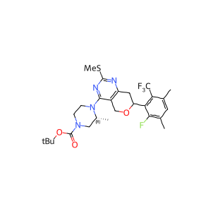 CSc1nc2c(c(N3CCN(C(=O)OC(C)(C)C)C[C@H]3C)n1)COC(c1c(F)c(C)cc(C)c1C(F)(F)F)C2